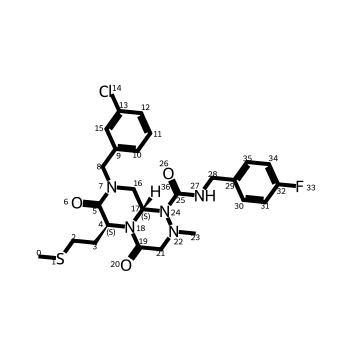 CSCC[C@H]1C(=O)N(Cc2cccc(Cl)c2)C[C@H]2N1C(=O)CN(C)N2C(=O)NCc1ccc(F)cc1